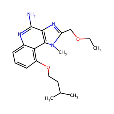 CCOCc1nc2c(N)nc3cccc(OCCC(C)C)c3c2n1C